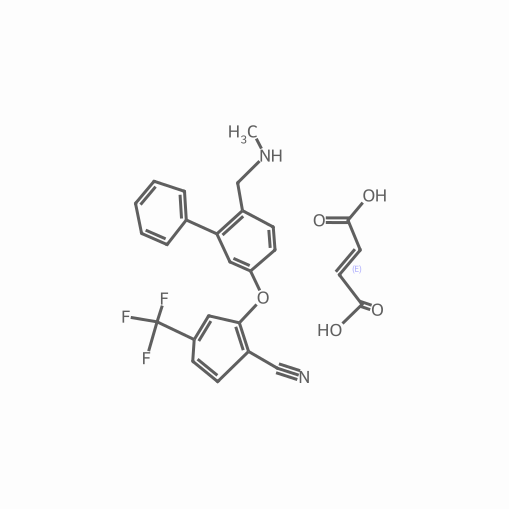 CNCc1ccc(Oc2cc(C(F)(F)F)ccc2C#N)cc1-c1ccccc1.O=C(O)/C=C/C(=O)O